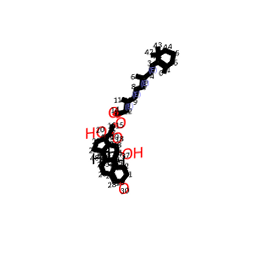 CC1=C(/C=C/C(C)=C/C=C/C(C)=C/C(=O)OCC(=O)[C@@]2(O)CC[C@H]3[C@@H]4CCC5=CC(=O)CC[C@]5(C)[C@H]4[C@@H](O)C[C@@]32C)C(C)(C)CCC1